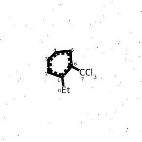 CCc1c[c]ccc1C(Cl)(Cl)Cl